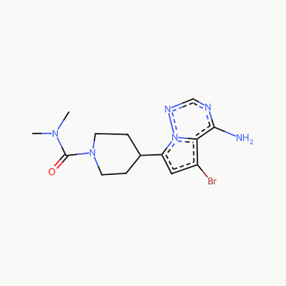 CN(C)C(=O)N1CCC(c2cc(Br)c3c(N)ncnn23)CC1